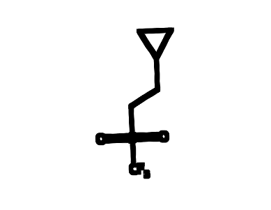 O=S(=O)(CCC1CC1)C(F)(F)F